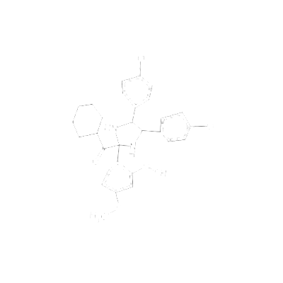 COc1ccc(C2(C(=O)C3CCCCC3)NC(c3ccc(Cl)cc3)C(c3ccc(Cl)cc3)N2)c(OC)c1